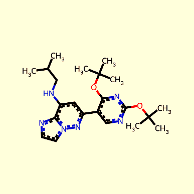 CC(C)CNc1cc(-c2cnc(OC(C)(C)C)nc2OC(C)(C)C)nn2ccnc12